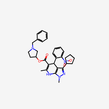 CC1=C(C(=O)OC2CCN(Cc3ccccc3)C2)C(c2ccccc2[N+](=O)[O-])c2c(C3CCCC3)nn(C)c2N1